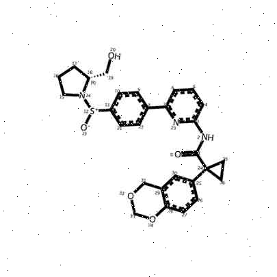 O=C(Nc1cccc(-c2ccc([S+]([O-])N3CCC[C@@H]3CO)cc2)n1)C1(c2ccc3c(c2)COCO3)CC1